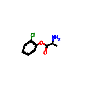 C[C@H](N)C(=O)Oc1ccccc1Cl